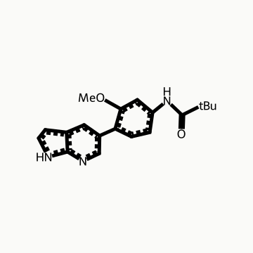 COc1cc(NC(=O)C(C)(C)C)ccc1-c1cnc2[nH]ccc2c1